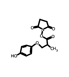 CC(COc1ccc(O)cc1)C(=O)ON1C(=O)CCC1=O